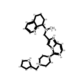 CN(Cc1cn2c(N3CCN(CC4CCCO4)CC3)nccc2n1)C1CCCc2cccnc21